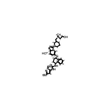 CN(CCO)CC1CCCN(c2nnc3ccc(O[C@@H]4CC[C@H](NC(=O)Nc5cc(C(C)(C)C)nn5C)c5ccccc54)cn23)C1.Cl